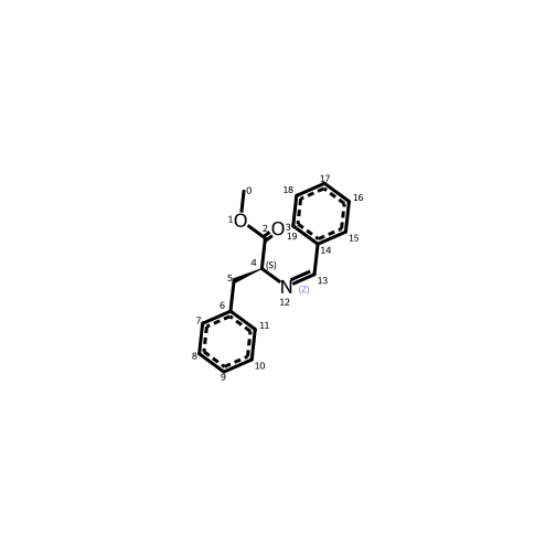 COC(=O)[C@H](Cc1ccccc1)/N=C\c1ccccc1